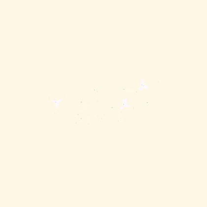 Cc1cc(C)c(CNC(=O)c2cc(Br)c3c(c2C)O[C@@](C)(C2CCN(C)CC2)O3)c(=O)[nH]1